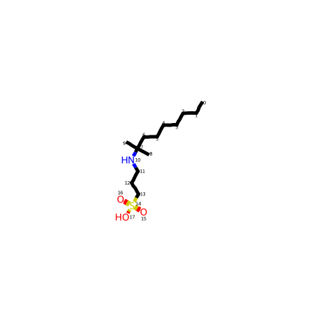 CCCCCCCC(C)(C)NCCCS(=O)(=O)O